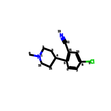 CN1CCC(c2ccc(Cl)cc2C#N)CC1